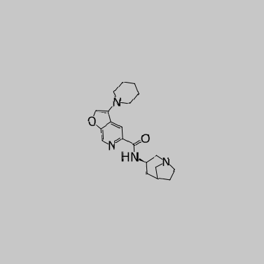 O=C(N[C@@H]1CC2CCN(C2)C1)c1cc2c(N3CCCCC3)coc2cn1